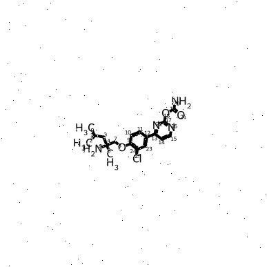 CC(C)CC(C)(N)COc1ccc(-c2ccnc(OC(N)=O)n2)cc1Cl